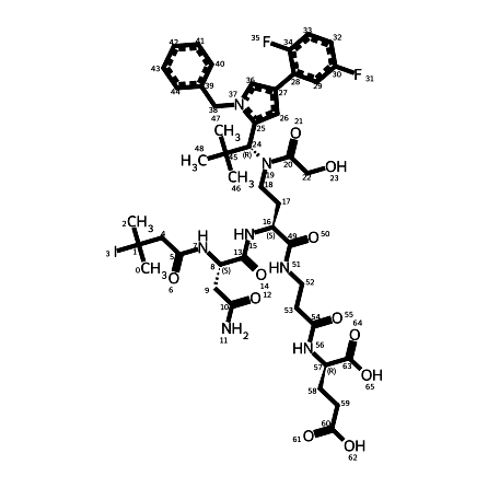 CC(C)(I)CC(=O)N[C@@H](CC(N)=O)C(=O)N[C@@H](CCN(C(=O)CO)[C@@H](c1cc(-c2cc(F)ccc2F)cn1Cc1ccccc1)C(C)(C)C)C(=O)NCCC(=O)N[C@H](CCC(=O)O)C(=O)O